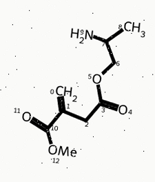 C=C(CC(=O)OCC(C)N)C(=O)OC